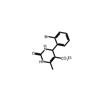 CCOC(=O)C1=C(C)NC(=O)NC1c1ccccc1Br